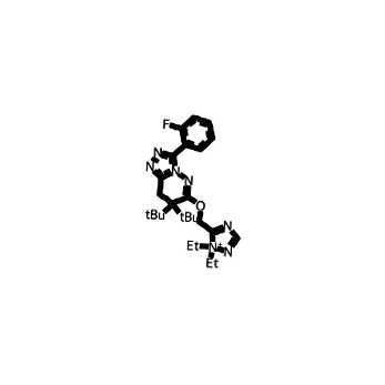 CC[N+]1(CC)N=CN=C1COC1=Nn2c(nnc2-c2ccccc2F)CC1(C(C)(C)C)C(C)(C)C